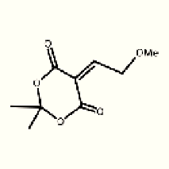 COCC=C1C(=O)OC(C)(C)OC1=O